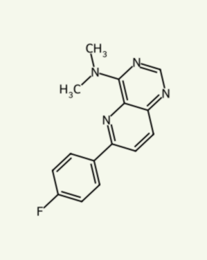 CN(C)c1ncnc2ccc(-c3ccc(F)cc3)nc12